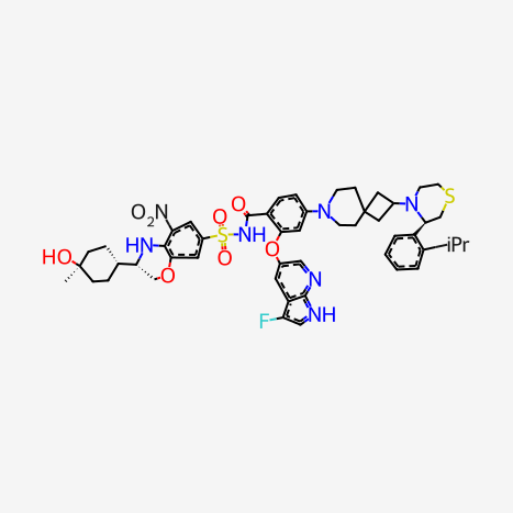 CC(C)c1ccccc1[C@@H]1CSCCN1C1CC2(CCN(c3ccc(C(=O)NS(=O)(=O)c4cc5c(c([N+](=O)[O-])c4)N[C@@H]([C@H]4CC[C@](C)(O)CC4)CO5)c(Oc4cnc5[nH]cc(F)c5c4)c3)CC2)C1